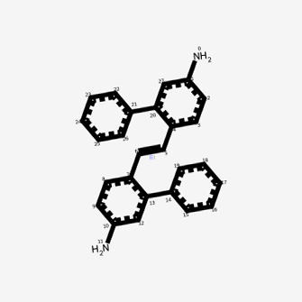 Nc1ccc(/C=C/c2ccc(N)cc2-c2ccccc2)c(-c2ccccc2)c1